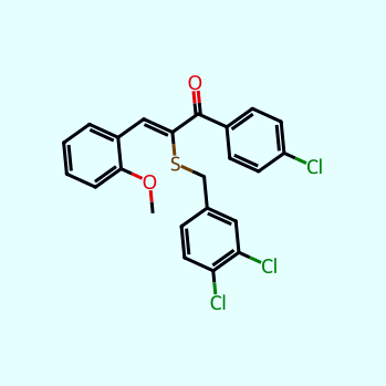 COc1ccccc1C=C(SCc1ccc(Cl)c(Cl)c1)C(=O)c1ccc(Cl)cc1